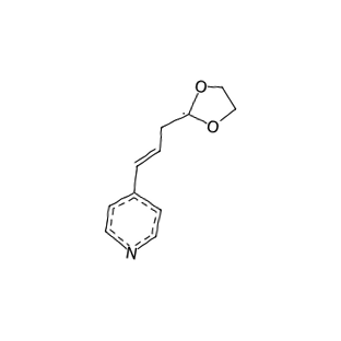 C(=Cc1ccncc1)C[C]1OCCO1